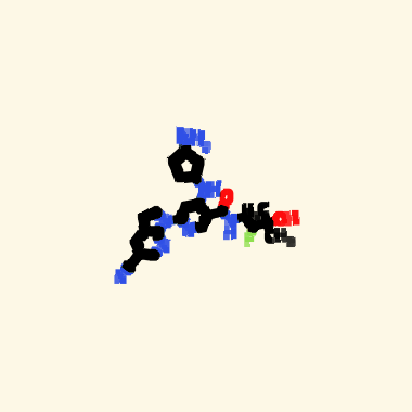 CC(C)(O)C(F)CNC(=O)c1cnc(-n2ccc3cc(C#N)cnc32)cc1NC1CCC(N)C1